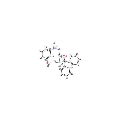 CN(CCO[Si](c1ccccc1)(c1ccccc1)C(C)(C)C)c1cccc(Br)c1